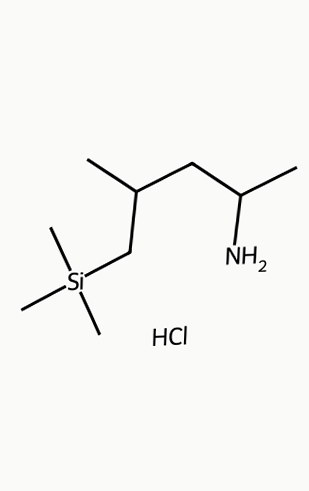 CC(N)CC(C)C[Si](C)(C)C.Cl